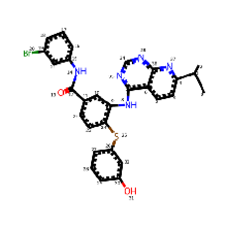 CC(C)c1ccc2c(Nc3cc(C(=O)Nc4cccc(Br)c4)ccc3Sc3cccc(O)c3)ncnc2n1